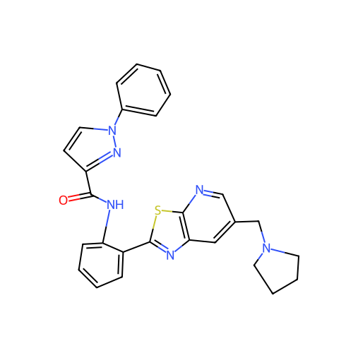 O=C(Nc1ccccc1-c1nc2cc(CN3CCCC3)cnc2s1)c1ccn(-c2ccccc2)n1